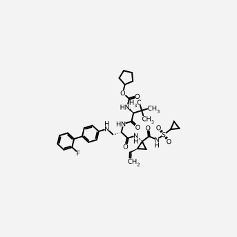 C=C[C@@H]1C[C@]1(NC(=O)[C@H](CNc1ccc(-c2ccccc2F)cc1)NC(=O)[C@@H](NC(=O)OC1CCCC1)C(C)(C)C)C(=O)NS(=O)(=O)C1CC1